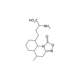 CC1Cc2noc(=O)n2C2C(CCC(N)C(=O)O)CCCC12